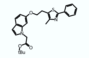 Cc1nc(-c2ccccc2)sc1CCOc1ccc2ccn(CC(=O)OC(C)(C)C)c2c1